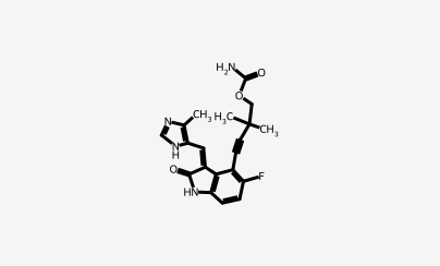 Cc1nc[nH]c1C=C1C(=O)Nc2ccc(F)c(C#CC(C)(C)COC(N)=O)c21